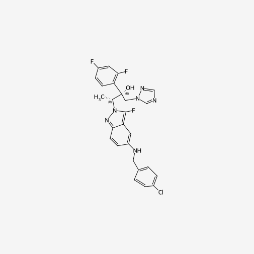 C[C@@H](n1nc2ccc(NCc3ccc(Cl)cc3)cc2c1F)[C@](O)(Cn1cncn1)c1ccc(F)cc1F